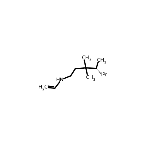 C=CNCCC(C)(C)[C@H](C)C(C)C